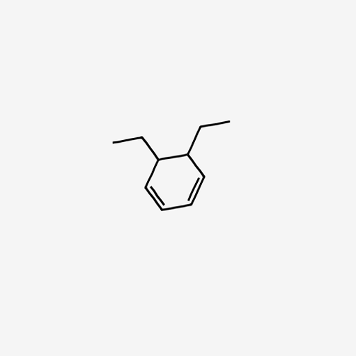 CCC1C=CC=CC1CC